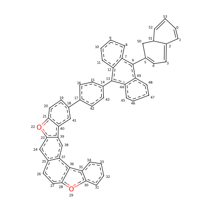 C1=CC2=CC=C(c3c4ccccc4c(-c4ccc(-c5ccc6oc7cc8ccc9oc%10ccccc%10c9c8cc7c6c5)cc4)c4ccccc34)CC2C=C1